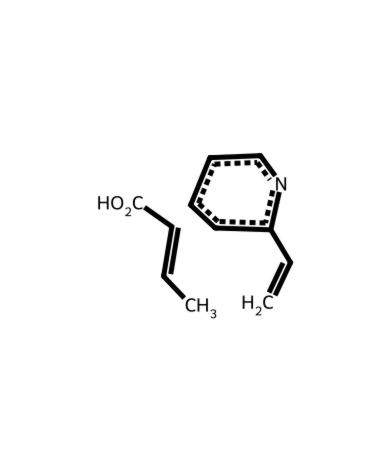 C=Cc1ccccn1.CC=CC(=O)O